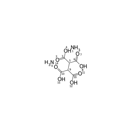 N.N.O=C(O)C(C(=O)O)C(C(=O)O)C(=O)O